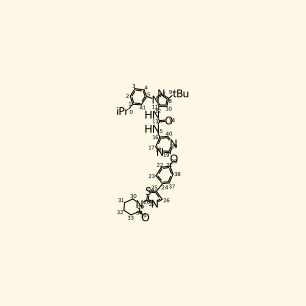 CC(C)c1cccc(-n2nc(C(C)(C)C)cc2NC(=O)Nc2cnc(Oc3ccc(-c4cnc(N5CCCCC5=O)s4)cc3)nc2)c1